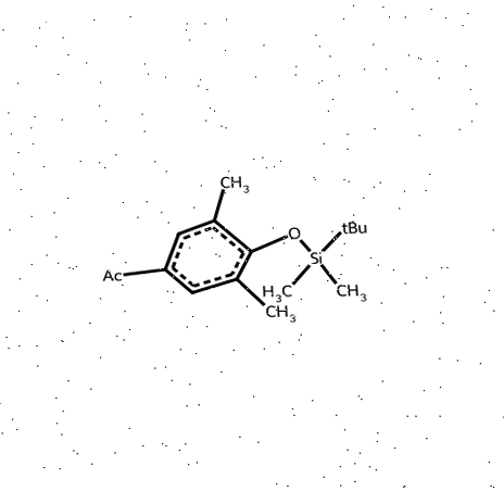 CC(=O)c1cc(C)c(O[Si](C)(C)C(C)(C)C)c(C)c1